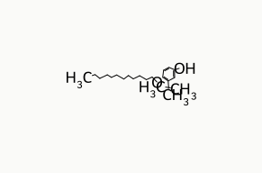 CCCCCCCCCCCCOc1ccc(O)cc1C(C)(C)C